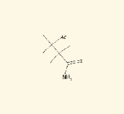 C=C(N)C(C)(C)C(C)(C)C(C)=O